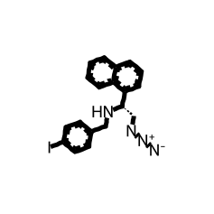 [N-]=[N+]=NC[C@H](NCc1ccc(I)cc1)c1cccc2ccccc12